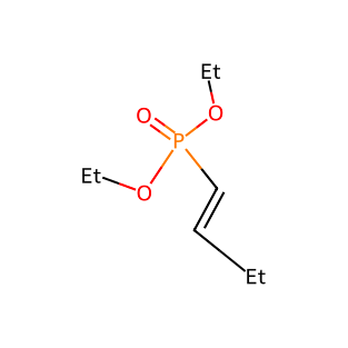 CCC=CP(=O)(OCC)OCC